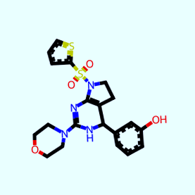 O=S(=O)(c1cccs1)N1CCC2=C1N=C(N1CCOCC1)NC2c1cccc(O)c1